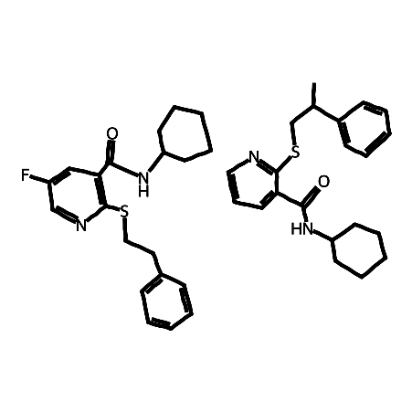 CC(CSc1ncccc1C(=O)NC1CCCCC1)c1ccccc1.O=C(NC1CCCCC1)c1cc(F)cnc1SCCc1ccccc1